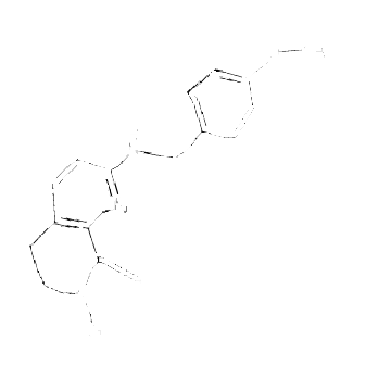 COc1ccc(CNc2ccc3c(n2)C(=O)N(O)CC3)cc1